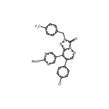 COc1ncc(-c2c(-c3ccc(Cl)cc3)cnn3c(=O)n(Cc4ccc(C(F)(F)F)cc4)nc23)cn1